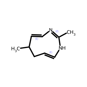 C/C1=N/C=C/C(C)C/C=C/N1